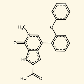 Cn1cc(-c2ccccc2Oc2ccccc2)c2cc(C(=O)O)[nH]c2c1=O